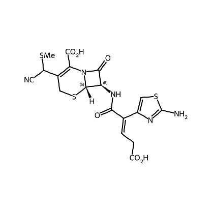 CSC(C#N)C1=C(C(=O)O)N2C(=O)[C@@H](NC(=O)C(=CCC(=O)O)c3csc(N)n3)[C@@H]2SC1